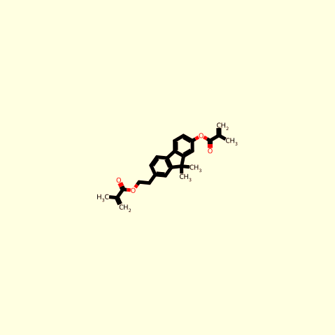 C=C(C)C(=O)OCCc1ccc2c(c1)C(C)(C)c1cc(OC(=O)C(=C)C)ccc1-2